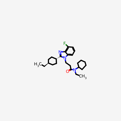 CCN(C(=O)CCn1c2cccc(F)c2nc1[C@H]1CC[C@H](CC)CC1)C1CCCCC1